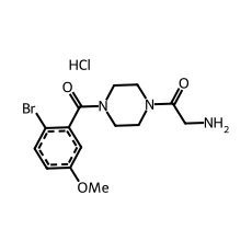 COc1ccc(Br)c(C(=O)N2CCN(C(=O)CN)CC2)c1.Cl